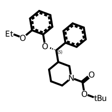 CCOc1ccccc1O[C@H](c1ccccc1)C1CCCN(C(=O)OC(C)(C)C)C1